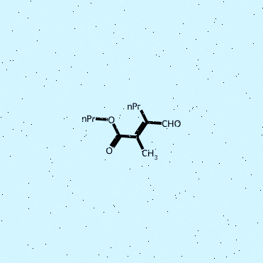 CCCOC(=O)C(C)=C(C=O)CCC